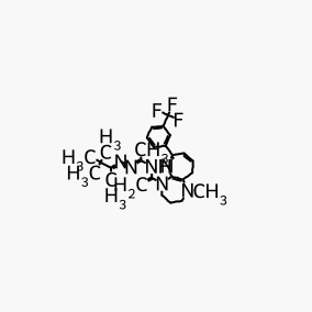 C=C(N/C(C)=N/N=C(\C)C(C)(C)C)N1CCCN(C)C2=C1N=C(c1cccc(C(F)(F)F)c1)C=CC2